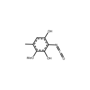 COc1c(C)cc(O)c(N=C=O)c1O